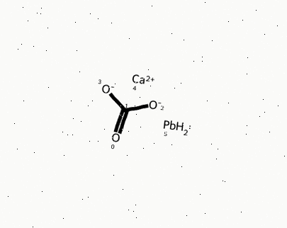 O=C([O-])[O-].[Ca+2].[PbH2]